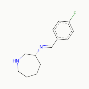 Fc1ccc(C=N[C@@H]2CCCCNC2)cc1